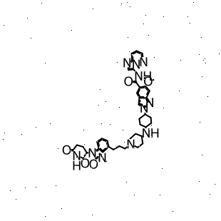 COc1cc2nn(C3CCC(NC4CCN(CCCc5cccc6c5n(C)c(=O)n6C5CCC(=O)NC5=O)CC4)CC3)cc2cc1C(=O)Nc1cnc2cccnn12